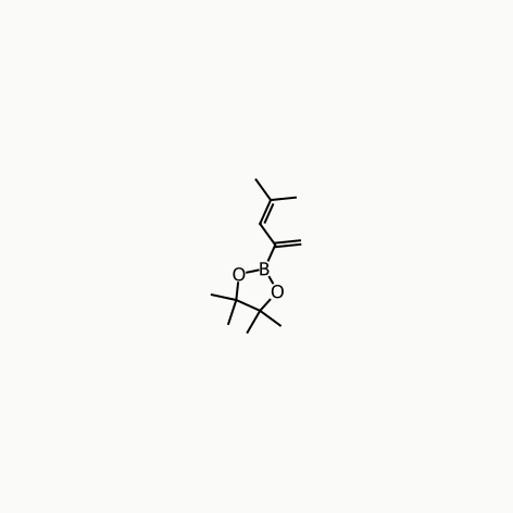 C=C(C=C(C)C)B1OC(C)(C)C(C)(C)O1